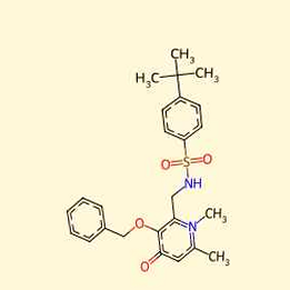 Cc1cc(=O)c(OCc2ccccc2)c(CNS(=O)(=O)c2ccc(C(C)(C)C)cc2)n1C